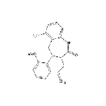 C=CCC1C(=O)Nc2cccc(C(F)(F)F)c2CC1c1ccccc1OC